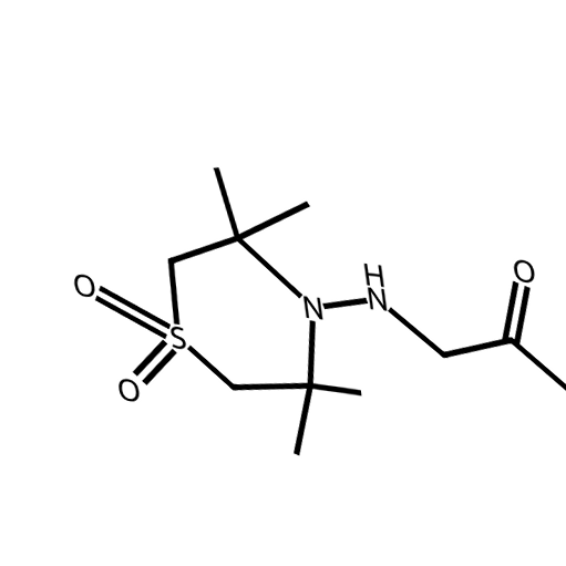 CC(=O)CNN1C(C)(C)CS(=O)(=O)CC1(C)C